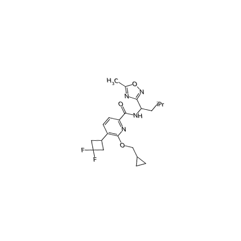 Cc1nc(C(CC(C)C)NC(=O)c2ccc(C3CC(F)(F)C3)c(OCC3CC3)n2)no1